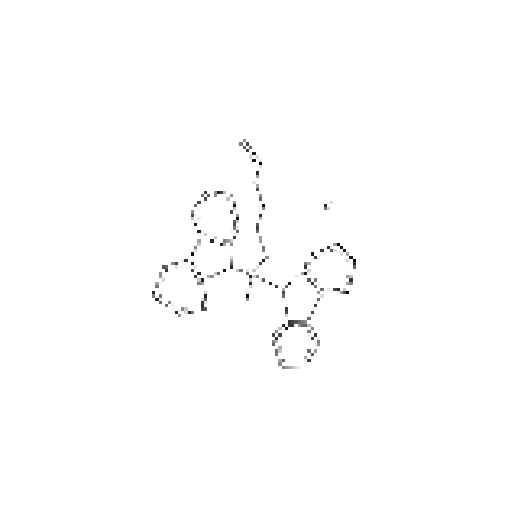 C=CCCCC[Si](C)(C1c2ccccc2-c2ccccc21)C1c2ccccc2-c2ccccc21.[Zr]